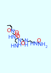 C/C=C\C(=O)N(C=O)CC(=O)NC(CCNC)C(=O)NCC(=O)NCCCCNC(N)=O